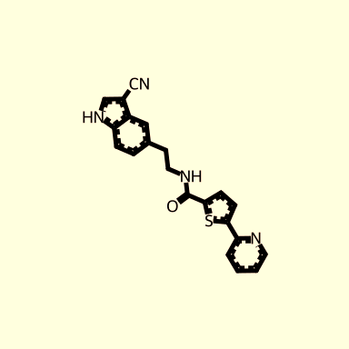 N#Cc1c[nH]c2ccc(CCNC(=O)c3ccc(-c4ccccn4)s3)cc12